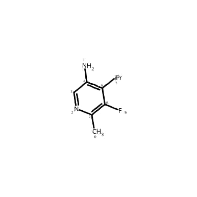 Cc1ncc(N)c(C(C)C)c1F